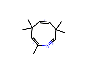 CC1=C/C(C)(C)/C=C\C(C)(C)/C=N\1